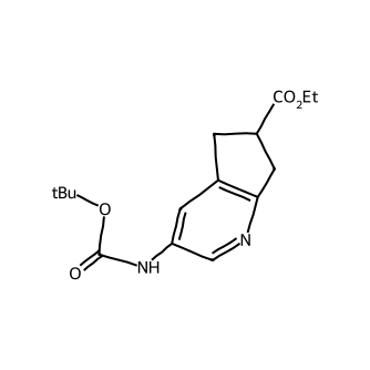 CCOC(=O)C1Cc2cc(NC(=O)OC(C)(C)C)cnc2C1